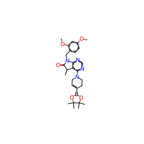 COc1ccc(CN2C(=O)C(C)c3c(N4CC=C(B5OC(C)(C)C(C)(C)O5)CC4)ncnc32)c(OC)c1